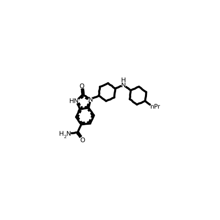 CCCC1CCC(NC2CCC(n3c(=O)[nH]c4cc(C(N)=O)ccc43)CC2)CC1